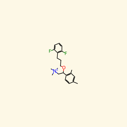 Cc1ccc(C(C[N+](C)(C)C)OCCCc2c(F)cccc2F)c(C)c1